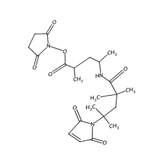 CC(CC(C)C(=O)ON1C(=O)CCC1=O)NC(=O)C(C)(C)CC(C)(C)N1C(=O)C=CC1=O